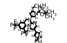 CC[C@@H]1CC(N(Cc2cc(C(F)(F)F)cc(C(F)(F)F)c2)c2ncc(-c3cnn(C)c3)cn2)CN1C(=O)OC(C)(C)C